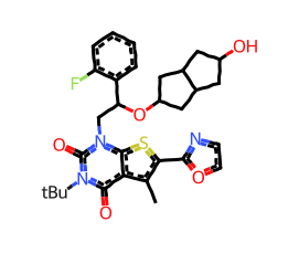 Cc1c(-c2ncco2)sc2c1c(=O)n(C(C)(C)C)c(=O)n2CC(OC1CC2CC(O)CC2C1)c1ccccc1F